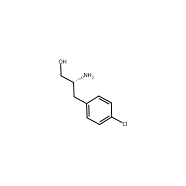 N[C@@H](CO)Cc1ccc(Cl)cc1